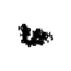 Cc1cc(F)c(Nc2nc(-c3ccc4c(c3)N(C3CC(N5CCCCC5)C3)C(=O)C43CCN(C(=O)C4CCN(C(=O)N5CCC(Nc6cccc7c6C(=O)N(C6CCC(=O)NC6=O)C7=O)CC5)CC4)CC3)cc3ncn(C(C)C)c23)cc1C(=O)NC(C)C